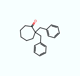 O=C1CCCCCC1(Cc1ccccc1)Cc1ccccc1